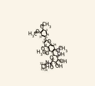 COc1ccc(-c2cc(=O)c3c(OC)c(C4OC(C(=O)NC5CCC5)C(O)C(O)C4O)c(OC)cc3o2)cc1OC